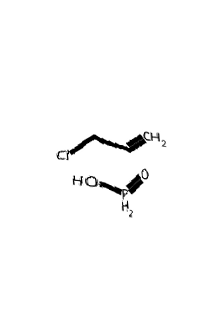 C=CCCl.O=[PH2]O